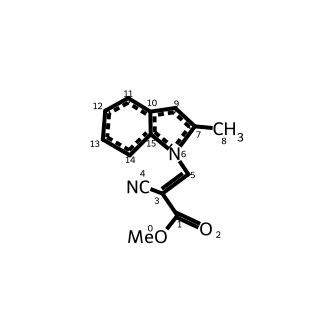 COC(=O)C(C#N)=Cn1c(C)cc2ccccc21